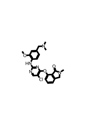 COc1cc(CN(C)C)ccc1Nc1ncc(Cl)c(Oc2cccc3c2C(=O)N(C)C3)n1